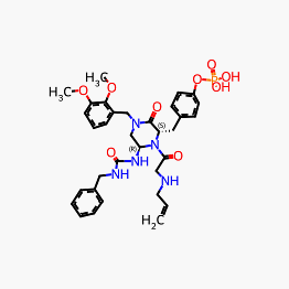 C=CCNCC(=O)N1[C@@H](NC(=O)NCc2ccccc2)CN(Cc2cccc(OC)c2OC)C(=O)[C@@H]1Cc1ccc(OP(=O)(O)O)cc1